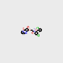 COc1cc2c(cc1OCCC(=O)Nc1ccc(Cl)cc1C(=O)c1ccccc1Cl)N=C[C@@H]1CCCN1C2=O